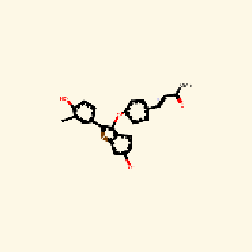 COC(=O)/C=C/c1ccc(Oc2c(-c3ccc(O)c(C)c3)sc3cc(O)ccc23)cc1